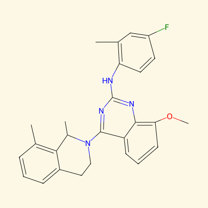 COc1cccc2c(N3CCc4cccc(C)c4C3C)nc(Nc3ccc(F)cc3C)nc12